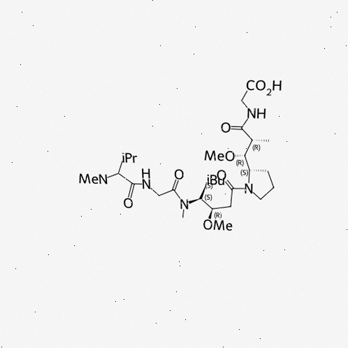 CC[C@H](C)[C@@H]([C@@H](CC(=O)N1CCC[C@H]1[C@H](OC)[C@@H](C)C(=O)NCC(=O)O)OC)N(C)C(=O)CNC(=O)C(NC)C(C)C